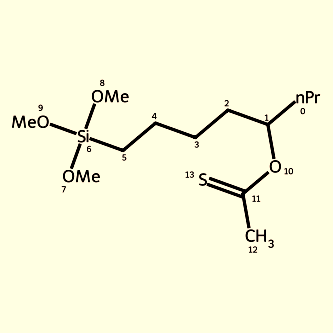 CCCC(CCCC[Si](OC)(OC)OC)OC(C)=S